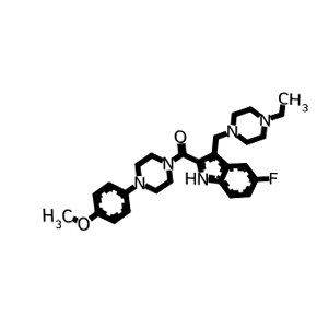 CCN1CCN(Cc2c(C(=O)N3CCN(c4ccc(OC)cc4)CC3)[nH]c3ccc(F)cc23)CC1